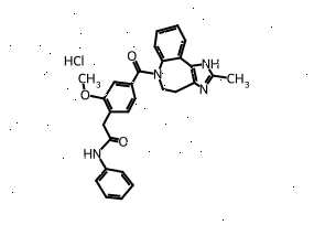 COc1cc(C(=O)N2CCc3nc(C)[nH]c3-c3ccccc32)ccc1CC(=O)Nc1ccccc1.Cl